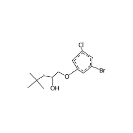 CC(C)(C)[CH]C(O)COc1cc(Cl)cc(Br)c1